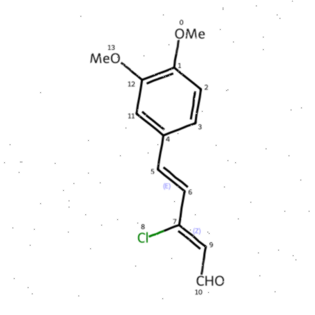 COc1ccc(/C=C/C(Cl)=C/C=O)cc1OC